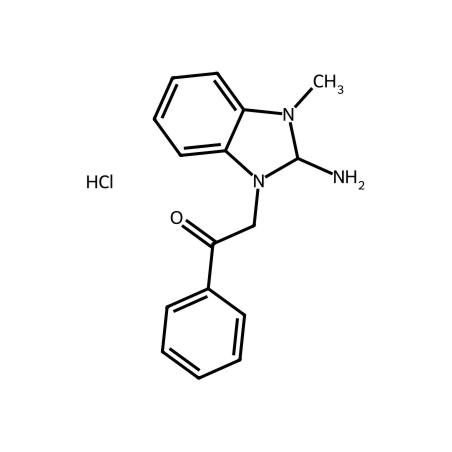 CN1c2ccccc2N(CC(=O)c2ccccc2)C1N.Cl